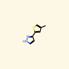 Cc1csc(-c2cc[nH]n2)c1